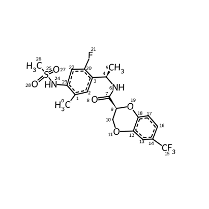 Cc1cc([C@@H](C)NC(=O)[C@@H]2COc3cc(C(F)(F)F)ccc3O2)c(F)cc1NS(C)(=O)=O